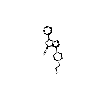 O=C=C1SC(c2cccnc2)n2ccc(N3CCN(CCO)CC3)c21